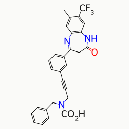 Cc1cc2c(cc1C(F)(F)F)NC(=O)CC(c1cccc(C#CCN(Cc3ccccc3)C(=O)O)c1)=N2